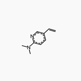 C=Cc1ccc(N(C)C)nc1